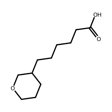 O=C(O)CCCCCC1CCCOC1